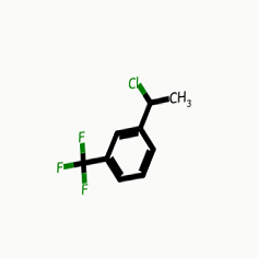 CC(Cl)c1cccc(C(F)(F)F)c1